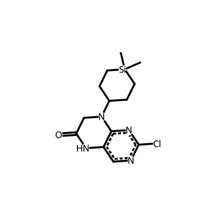 C[Si]1(C)CCC(N2CC(=O)Nc3cnc(Cl)nc32)CC1